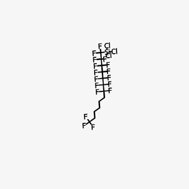 FC(F)(F)CCCCCC(F)(F)C(F)(F)C(F)(F)C(F)(F)C(F)(F)C(F)(F)C(F)(F)[Si](Cl)(Cl)Cl